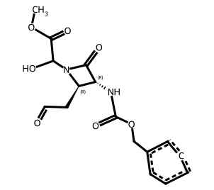 COC(=O)C(O)N1C(=O)[C@H](NC(=O)OCc2ccccc2)[C@H]1CC=O